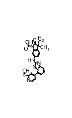 COc1cc(-c2cccc3nc(Nc4ccc5c(c4)N(C(=O)O)C(=O)C5(C)C)nn23)ccn1